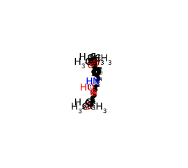 CO[Si](C)(C)CCCOCC(O)CNCc1ccc(B2OC(C)(C)C(C)(C)O2)cc1